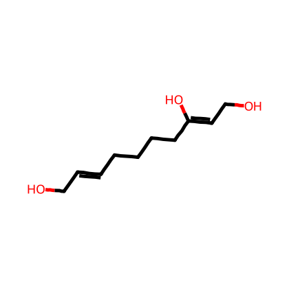 OCC=CCCCCC(O)=CCO